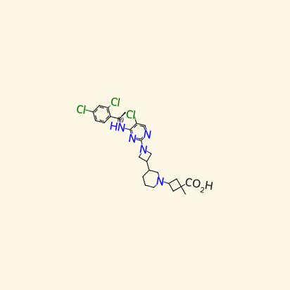 C[C@@H](Nc1nc(N2CC(C3CCCN(C4CC(C)(C(=O)O)C4)C3)C2)ncc1Cl)c1ccc(Cl)cc1Cl